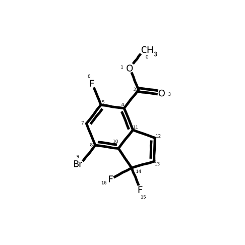 COC(=O)c1c(F)cc(Br)c2c1C=CC2(F)F